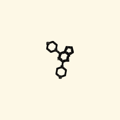 c1cc2c(N3CCOCC3)nc(N3CCOCC3)nn2c1